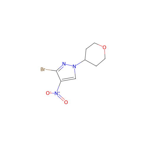 O=[N+]([O-])c1cn(C2CCOCC2)nc1Br